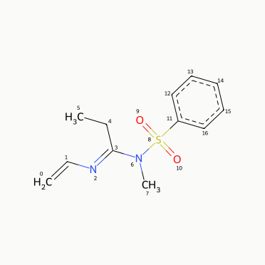 C=C/N=C(\CC)N(C)S(=O)(=O)c1ccccc1